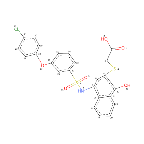 O=C(O)CSc1cc(NS(=O)(=O)c2cccc(Oc3ccc(Cl)cc3)c2)c2ccccc2c1O